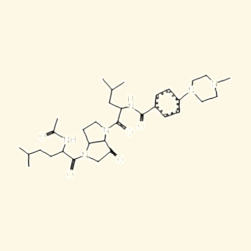 CC(=O)NC(CCC(C)C)C(=O)N1CC(=O)C2C1CCN2C(=O)C(CC(C)C)NC(=O)c1ccc(N2CCN(C)CC2)cc1